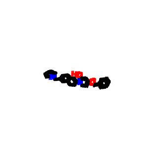 OC1=CC(OCc2ccccc2)=CCN1C1=Cc2ccc(CN3CCCC3)cc2CC1